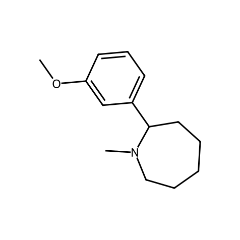 COc1cccc(C2CCCCCN2C)c1